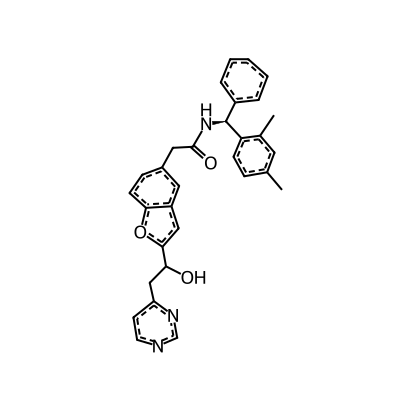 Cc1ccc([C@@H](NC(=O)Cc2ccc3oc(C(O)Cc4ccncn4)cc3c2)c2ccccc2)c(C)c1